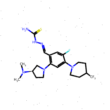 CN(C)[C@@H]1CCN(c2cc(N3CCC(C(F)(F)F)CC3)c(F)cc2C=NNC(N)=S)C1